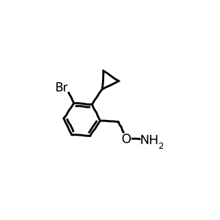 NOCc1cccc(Br)c1C1CC1